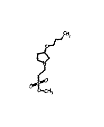 CCCCOC1CCN(CCS(=O)(=O)OC)C1